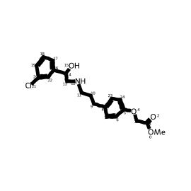 COC(=O)COc1ccc(CCCNCC(O)c2cccc(Cl)c2)cc1